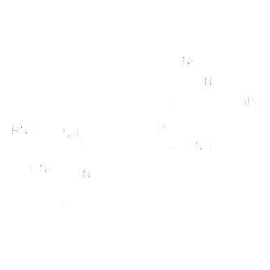 CC(C)CC(NC(=O)c1cccc(-c2csc(NC(=N)N)n2)c1)C(=O)N(C)C#N